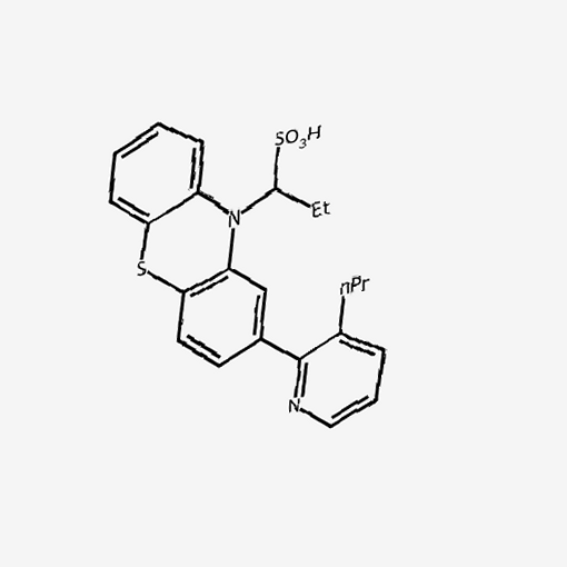 CCCc1cccnc1-c1ccc2c(c1)N(C(CC)S(=O)(=O)O)c1ccccc1S2